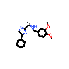 COc1ccc(CN[C@@H](C)C2=NC(c3ccccc3)CN2)cc1OC